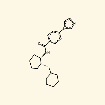 O=C(N[C@@H]1CCCC[C@H]1CN1CCCCC1)c1ccc(-n2ccnc2)cc1